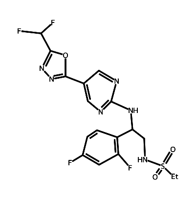 CCS(=O)(=O)NCC(Nc1ncc(-c2nnc(C(F)F)o2)cn1)c1ccc(F)cc1F